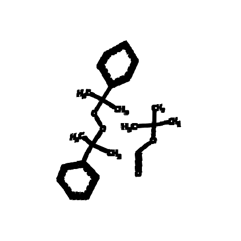 CC(C)(C)OC=O.CC(C)(OOC(C)(C)c1ccccc1)c1ccccc1